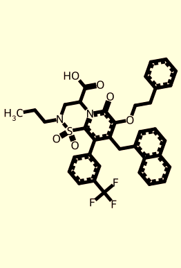 CCCN1CC(C(=O)O)n2c(c(-c3cccc(C(F)(F)F)c3)c(Cc3cccc4ccccc34)c(OCCc3ccccc3)c2=O)S1(=O)=O